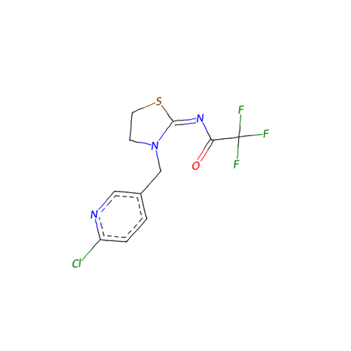 O=C(/N=C1/SCCN1Cc1ccc(Cl)nc1)C(F)(F)F